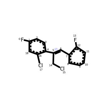 Fc1ccc(/C(=C/c2ccccc2F)CCl)c(Cl)c1